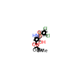 COCC(COC)OC(=O)c1ccc(NS(=O)(=O)c2cc(Cl)cc(Cl)c2)cc1O